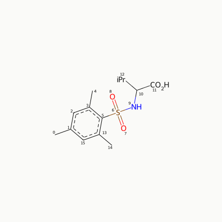 Cc1cc(C)c(S(=O)(=O)NC(C(=O)O)C(C)C)c(C)c1